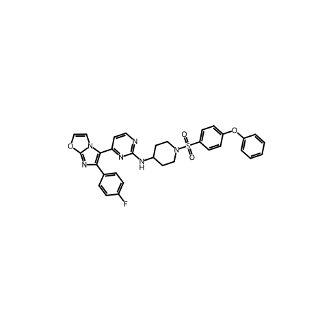 O=S(=O)(c1ccc(Oc2ccccc2)cc1)N1CCC(Nc2nccc(-c3c(-c4ccc(F)cc4)nc4occn34)n2)CC1